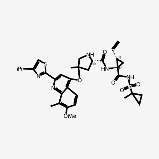 C=C[C@@H]1C[C@]1(NC(=O)[C@@H]1CC(C)(Oc2cc(-c3nc(C(C)C)cs3)nc3c(C)c(OC)ccc23)CN1)C(=O)NS(=O)(=O)C1(C)CC1